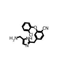 N#Cc1ccc(Cc2ncc(CN)[nH]2)cc1Oc1ccccc1Cl